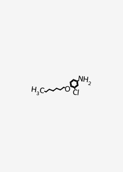 CCCCCCCOc1ccc(N)cc1Cl